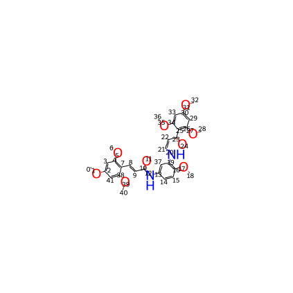 COc1cc(OC)c(/C=C/C(=O)Nc2ccc(OC)c(N/C=C\C(=O)c3c(OC)cc(OC)cc3OC)c2)c(OC)c1